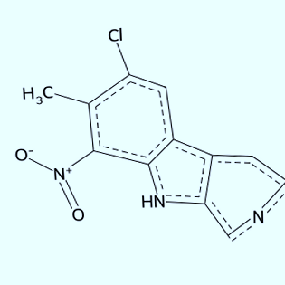 Cc1c(Cl)cc2c([nH]c3cnccc32)c1[N+](=O)[O-]